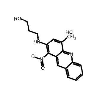 Cc1cc(NCCCO)c([N+](=O)[O-])c2cc3ccccc3nc12.Cl